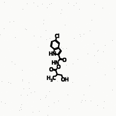 CC(CO)C(=O)ONC(=O)c1cc2cc(Cl)ccc2[nH]1